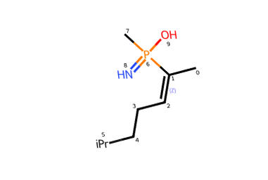 C/C(=C/CCC(C)C)P(C)(=N)O